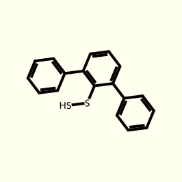 SSc1c(-c2ccccc2)cccc1-c1ccccc1